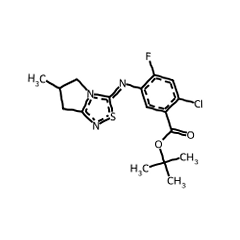 CC1Cc2nsc(=Nc3cc(C(=O)OC(C)(C)C)c(Cl)cc3F)n2C1